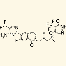 C[C@@H](C[C@@H](F)Cn1ccc2cc(-c3ncc(C(F)F)c(N)n3)c(F)cc2c1=O)Oc1cn[nH]c(=O)c1C(F)(F)F